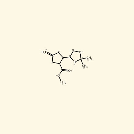 C=C1CC(C(=O)OC)C(C2COC(C)(C)O2)C1